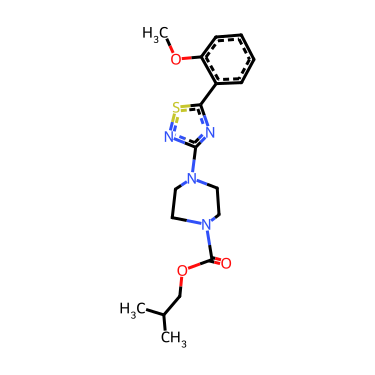 COc1ccccc1-c1nc(N2CCN(C(=O)OCC(C)C)CC2)ns1